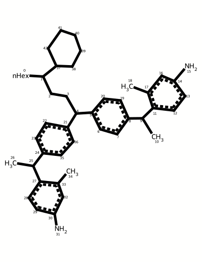 CCCCCCC(CCC(c1ccc(C(C)c2ccc(N)cc2C)cc1)c1ccc(C(C)c2ccc(N)cc2C)cc1)C1CCCCC1